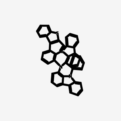 c1ccc(-n2c3ccccc3c3cccc(N(c4cccc5c4ccc4sc6ccccc6c45)c4cccc5c4sc4ccccc45)c32)cc1